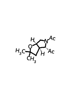 CC(=O)[C@@H]1[C@H]2CC(C)(C)O[C@H]2CN1C(C)=O